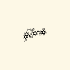 COc1ccc2nccc([C@@H](O)CC[C@@H]3CCN(CCCc4c(Cl)cccc4Cl)C[C@@H]3CC(=O)O)c2c1